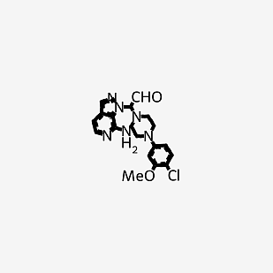 COc1cc(N2CCN(C(C=O)n3ncc4ccnc(N)c43)CC2)ccc1Cl